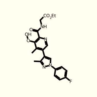 CCOC(=O)CNC(=O)c1ncc(-c2cn(-c3ccc(F)cc3)nc2C)c(C)c1OO